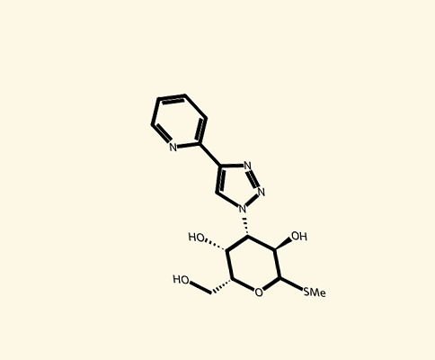 CSC1O[C@H](CO)[C@H](O)[C@H](n2cc(-c3ccccn3)nn2)[C@H]1O